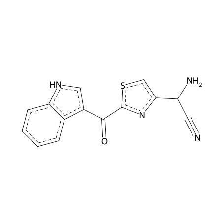 N#CC(N)c1csc(C(=O)c2c[nH]c3ccccc23)n1